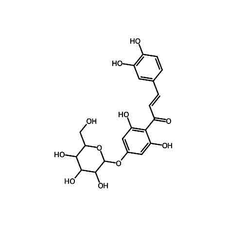 O=C(/C=C/c1ccc(O)c(O)c1)c1c(O)cc(OC2OC(CO)C(O)C(O)C2O)cc1O